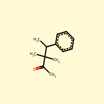 CC(=O)C(C)(C)C(C)c1ccccc1